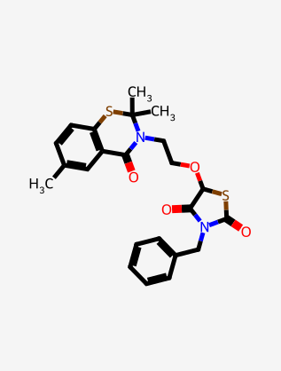 Cc1ccc2c(c1)C(=O)N(CCOC1SC(=O)N(Cc3ccccc3)C1=O)C(C)(C)S2